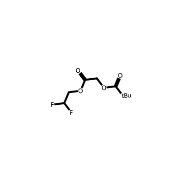 CC(C)(C)C(=O)OCC(=O)OCC(F)F